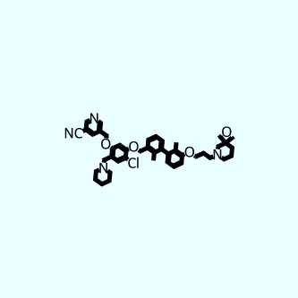 Cc1c(COc2cc(OCc3cncc(C#N)c3)c(CN3CCCCC3)cc2Cl)cccc1-c1cccc(OCCCN2CCCC3(COC3)C2)c1C